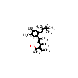 C=C(O)/C(=C/C)C(=C)/C=C(\C)c1cc(C)c(CC)cc1CC(C)C(C)(C)CC